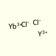 [Cl-].[Cl-].[Y+3].[Yb+3]